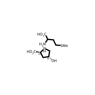 CSCCC(N)C(=O)O.O=C(O)[C@@H]1C[C@@H](O)CN1